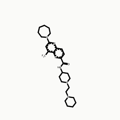 O=C(NC1CCN(CCN2CCCCC2)CC1)c1ccc2nc(N3CCCCCC3)cc(C(F)(F)F)c2n1